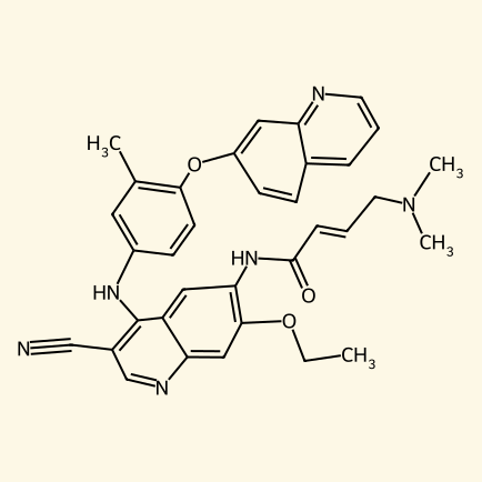 CCOc1cc2ncc(C#N)c(Nc3ccc(Oc4ccc5cccnc5c4)c(C)c3)c2cc1NC(=O)/C=C/CN(C)C